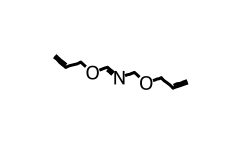 C=CCO/C=N/COCC=C